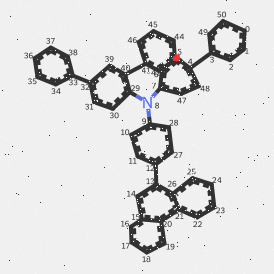 c1ccc(-c2ccc(N(c3ccc(-c4cc5ccccc5c5ccccc45)cc3)c3ccc(-c4ccccc4)cc3-c3ccccc3)cc2)cc1